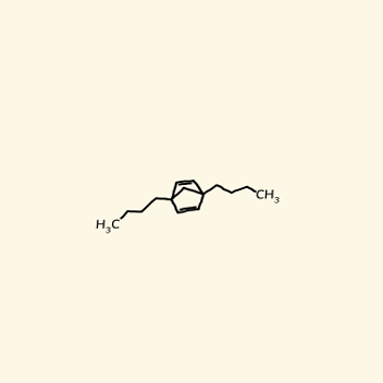 CCCCC12C=CC(CCCC)(C=C1)C2